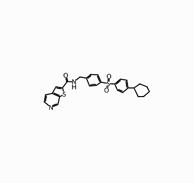 O=C(NCc1ccc(S(=O)(=O)c2ccc(C3CCCCC3)cc2)cc1)c1cc2ccncc2s1